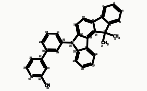 CC1(C)c2ccccc2-c2ccc3c(c21)c1ccccc1n3-c1cccc(-c2ccnc(C#N)c2)c1